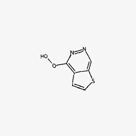 OOc1nncc2sccc12